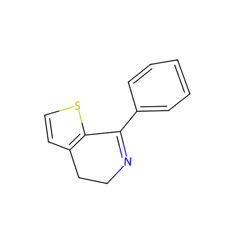 c1ccc(C2=NCCc3ccsc32)cc1